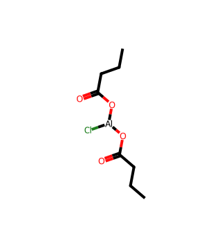 CCCC(=O)[O][Al]([Cl])[O]C(=O)CCC